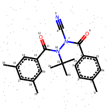 Cc1ccc(C(=O)N(C#N)N(C(=O)c2cc(C)cc(C)c2)C(C)(C)C)cc1